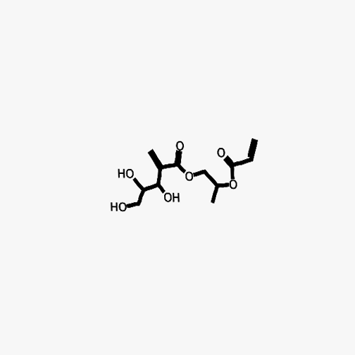 C=CC(=O)OC(C)COC(=O)C(=C)C(O)C(O)CO